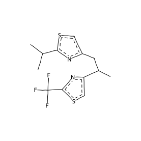 CC(C)c1nc(CC(C)c2csc(C(F)(F)F)n2)cs1